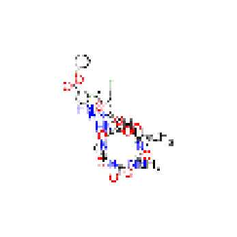 C[C@H]1C[C@H]2C(=O)O[C@@H](C)[C@H](NC(=O)[C@H](CC3=CC(F)CC(F)=C3)NC(=O)Nc3ccc(C(=O)OCc4ccccc4)cc3)C(=O)N3CCC[C@H]3C(=O)N3CCOC[C@H]3C(=O)N[C@@H](C)C(=O)N2C1